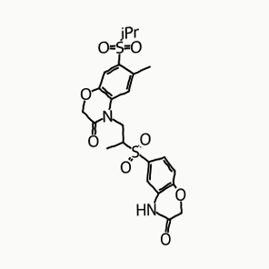 Cc1cc2c(cc1S(=O)(=O)C(C)C)OCC(=O)N2CC(C)S(=O)(=O)c1ccc2c(c1)NC(=O)CO2